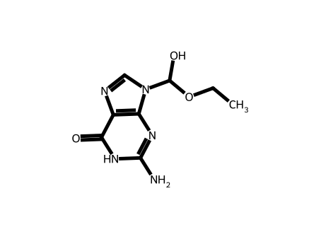 CCOC(O)n1cnc2c(=O)[nH]c(N)nc21